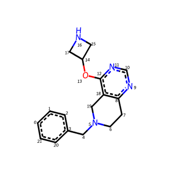 c1ccc(CN2CCc3ncnc(OC4CNC4)c3C2)cc1